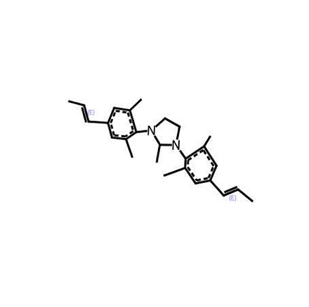 C/C=C/c1cc(C)c(N2CCN(c3c(C)cc(/C=C/C)cc3C)C2C)c(C)c1